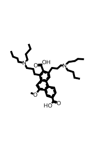 CCCCN(CCCC)CCCc1cc2c(cc(OC)c3cc(C(=O)O)ccc32)c(CCCN(CCCC)CCCC)c1C(=O)O